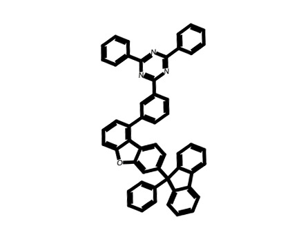 c1ccc(-c2nc(-c3ccccc3)nc(-c3cccc(-c4cccc5oc6cc(C7(c8ccccc8)c8ccccc8-c8ccccc87)ccc6c45)c3)n2)cc1